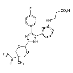 CC1(C(N)=O)COC(c2nc(-c3ccc(F)cc3)c(-c3ccnc(NCCC(=O)O)n3)[nH]2)OC1